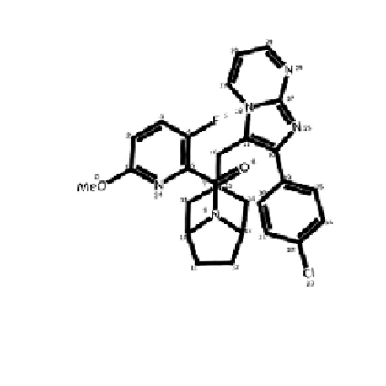 COc1ccc(F)c(C(=O)N2C3CCC2CN(Cc2c(-c4ccc(Cl)cc4)nc4ncccn24)C3)n1